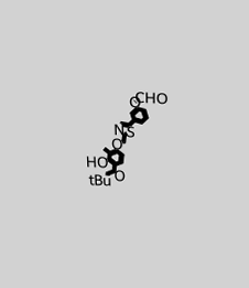 Cc1c(OCc2ncc(-c3cccc(OC=O)c3)s2)ccc(C(=O)CC(C)(C)C)c1O